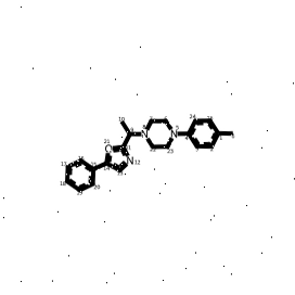 Cc1ccc(N2CCN(C(C)c3ncc(-c4ccccc4)o3)CC2)cc1